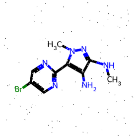 CNc1nn(C)c(-c2ncc(Br)cn2)c1N